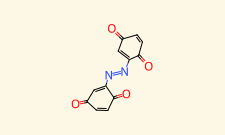 O=C1C=CC(=O)C(N=NC2=CC(=O)C=CC2=O)=C1